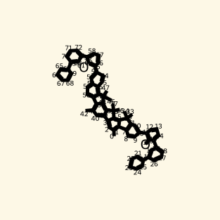 Cc1cc2c(c3c1-c1ccc(-c4cccc5c4oc4c(-c6ccccc6)cccc45)cc1C3(C)C)C(C)(C)c1c-2cc(C)c2c1C(C)(C)c1c-2ccc2cc(-c3cccc4c3oc3c(-c5ccccc5)cccc34)ccc12